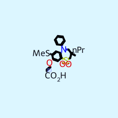 CCC[C@]1(C)CN(c2ccccc2)c2cc(SC)c(O/C=C/C(=O)O)cc2S(=O)(=O)C1